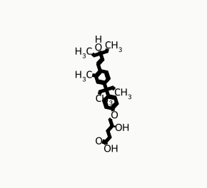 CCC(O)(/C=C/c1ccc(C(CC)(CC)c2ccc(OC[C@@H](O)CCC(=O)O)cc2)cc1C)CC